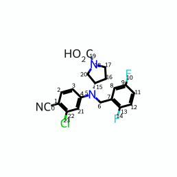 N#Cc1ccc(N(Cc2cc(F)ccc2F)[C@H]2CCN(C(=O)O)C2)cc1Cl